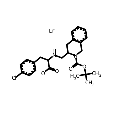 CC(C)(C)OC(=O)N1Cc2ccccc2CC1CNC(Cc1ccc(Cl)cc1)C(=O)[O-].[Li+]